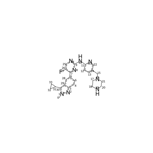 Cn1nc2ccc(-c3nc(Nc4ccc(CN5CCNCC5)cn4)ncc3F)cc2c1C1CC1